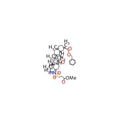 COC(=O)CCS(=O)(=O)N[C@H]1CC[C@]2(C)[C@H]3C(=O)C=C4[C@@H]5C[C@@](C)(C6OC6OCc6ccccc6)CC[C@]5(C)CC[C@@]4(C)[C@]3(C)CC[C@H]2C1(C)C